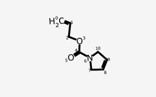 C=CCOC(=O)N1CC=CC1